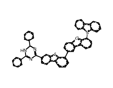 c1ccc(C2=NC(c3ccc4c(c3)sc3c(-c5ccc6oc7c(-n8c9ccccc9c9ccccc98)cccc7c6c5)cccc34)=NC(c3ccccc3)N2)cc1